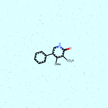 COc1c(-c2ccccc2)c[nH]c(=O)c1C(=O)O